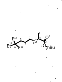 CCCCOC(=O)C(C)SCCCC(F)(F)CC